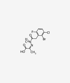 C/C(=N/N(C)C(=O)Cc1c(F)ccc(Cl)c1Br)C(=O)O